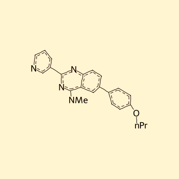 CCCOc1ccc(-c2ccc3nc(-c4cccnc4)nc(NC)c3c2)cc1